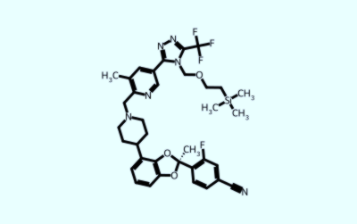 Cc1cc(-c2nnc(C(F)(F)F)n2COCC[Si](C)(C)C)cnc1CN1CCC(c2cccc3c2O[C@@](C)(c2ccc(C#N)cc2F)O3)CC1